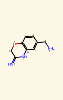 N=C1COc2ccc(CN)cc2N1